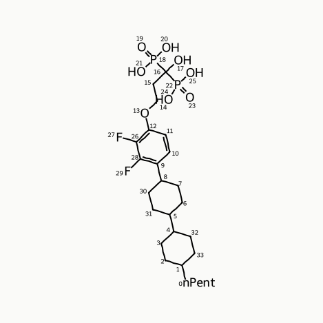 CCCCCC1CCC(C2CCC(c3ccc(OCCC(O)(P(=O)(O)O)P(=O)(O)O)c(F)c3F)CC2)CC1